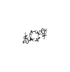 CCC(C)(C)C(=O)OC(O)CN1CCCN(C)CCN(CC(O)OC(=O)C(C)(C)CC)CCCN(C)CC1